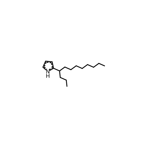 CCCCCCCCC(CCC)c1ccc[nH]1